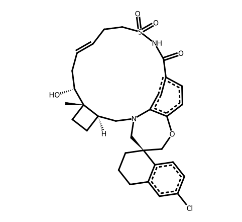 C[C@]12CC[C@@H]1CN1C[C@@]3(CCCc4cc(Cl)ccc43)COc3ccc(cc31)C(=O)NS(=O)(=O)CC/C=C/C[C@H]2O